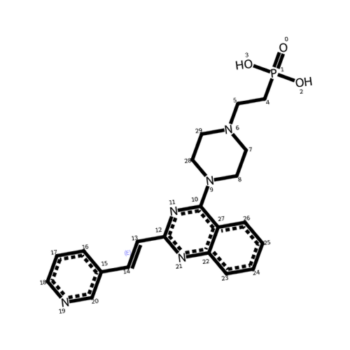 O=P(O)(O)CCN1CCN(c2nc(/C=C/c3cccnc3)nc3ccccc23)CC1